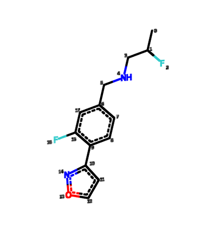 CC(F)CNCc1ccc(-c2ccon2)c(F)c1